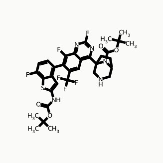 CC(C)(C)OC(=O)Nc1cc2c(-c3c(C(F)(F)F)cc4c(C56CCC(CNC5)N6C(=O)OC(C)(C)C)nc(F)nc4c3F)ccc(F)c2s1